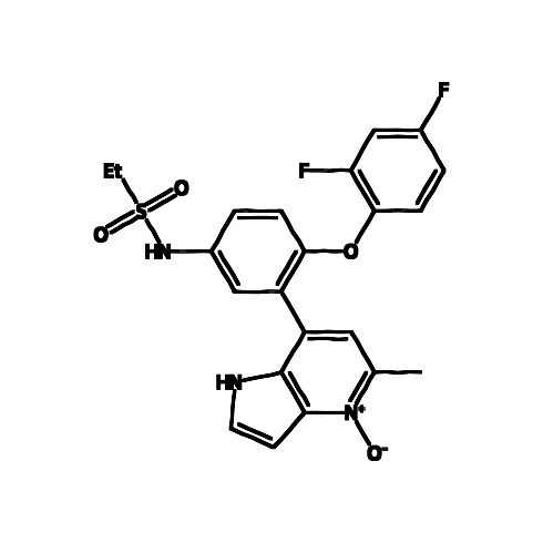 CCS(=O)(=O)Nc1ccc(Oc2ccc(F)cc2F)c(-c2cc(C)[n+]([O-])c3cc[nH]c23)c1